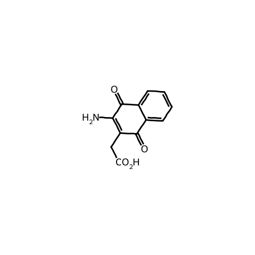 NC1=C(CC(=O)O)C(=O)c2ccccc2C1=O